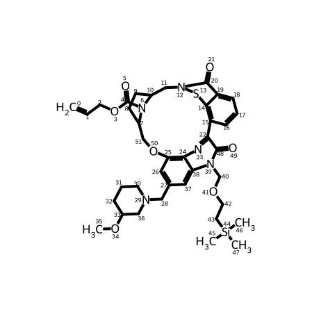 C=CCOC(=O)N1C2CCC1Cn1sc3c(cccc3c1=O)-c1nc3c(cc(CN4CCCC(OC)C4)cc3n(COCC[Si](C)(C)C)c1=O)OC2